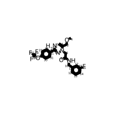 C=C(COC)N(CC(=O)NCc1cccc(F)c1)/N=C(\N)c1ccc(OC(F)(F)F)cc1